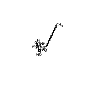 CCCCCCCCCCCCCCCCCCOP(=O)(O)OC[C@@H]1[C@@H](CO)C[C@H]1N1CNc2c1nc(N)[nH]c2=O